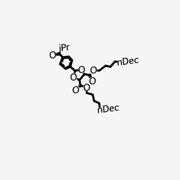 CCCCCCCCCCCCCCOC(=O)C1OC(c2ccc(C(=O)C(C)C)cc2)OC1C(=O)OCCCCCCCCCCCCCC